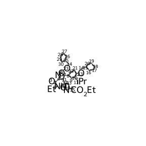 CCNC(=O)c1noc(-c2cc(C(C)C)c(OCc3ccccc3)cc2OCc2ccccc2)c1-c1cc(C(=O)OCC)no1